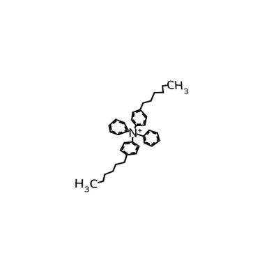 CCCCCCc1ccc([N+](c2ccccc2)(c2ccccc2)c2ccc(CCCCCC)cc2)cc1